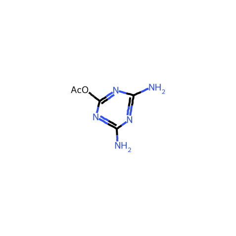 CC(=O)Oc1nc(N)nc(N)n1